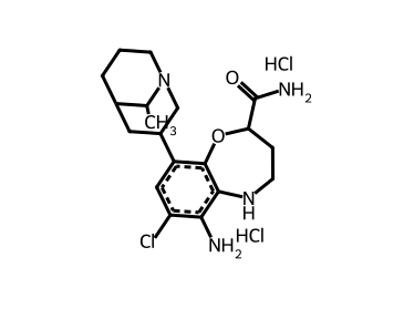 CC1C2CCCN1CC(c1cc(Cl)c(N)c3c1OC(C(N)=O)CCN3)C2.Cl.Cl